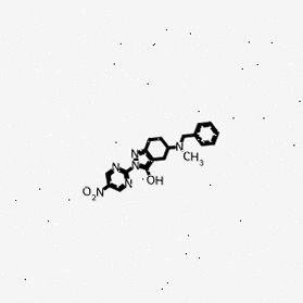 CN(Cc1ccccc1)C1CCc2nn(-c3ncc([N+](=O)[O-])cn3)c(O)c2C1